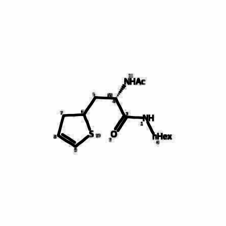 CCCCCCNC(=O)[C@H](CC1CC=CS1)NC(C)=O